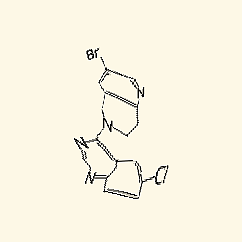 Clc1ccc2ncnc(N3CCc4ncc(Br)cc4C3)c2c1